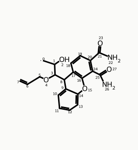 [CH2]C(O)C(OCC=C)C1c2ccccc2Oc2c1ccc(C(N)=O)c2C(N)=O